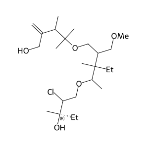 C=C(CO)C(C)C(C)(C)OCC(COC)C(C)(CC)C(C)OCC(Cl)[C@](C)(O)CC